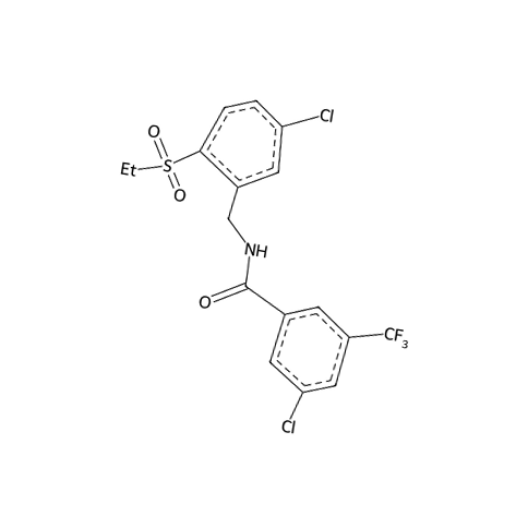 CCS(=O)(=O)c1ccc(Cl)cc1CNC(=O)c1cc(Cl)cc(C(F)(F)F)c1